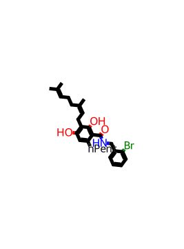 CCCCCc1cc(O)c(CC=C(C)CCC=C(C)C)c(O)c1C(=O)NCc1ccccc1Br